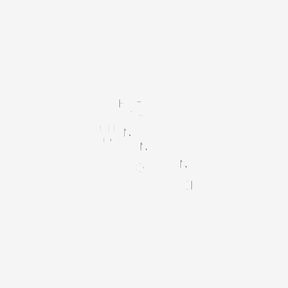 COc1c(-c2ccccc2)c(=O)n2c([n+]1CC(F)(F)F)CCC2c1ccc(Cl)nc1